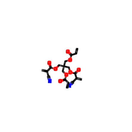 C=CC(=O)OCC(COC(=O)C=C)(COC(=O)C(=C)C#N)COC(=O)C(=C)C#N